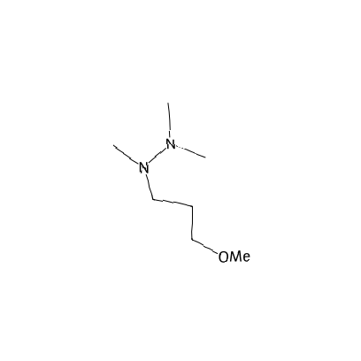 COCCCN(C)N(C)C